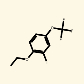 CCOc1ccc(OC(F)(F)F)cc1I